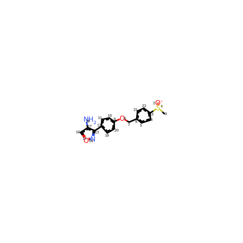 C[S+]([O-])c1ccc(COc2ccc(-c3nocc3N)cc2)cc1